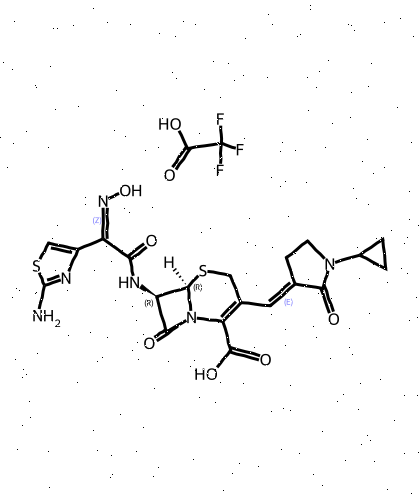 Nc1nc(/C(=N/O)C(=O)N[C@@H]2C(=O)N3C(C(=O)O)=C(/C=C4\CCN(C5CC5)C4=O)CS[C@H]23)cs1.O=C(O)C(F)(F)F